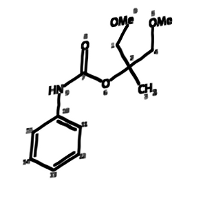 COCC(C)(COC)OC(=O)Nc1ccccc1